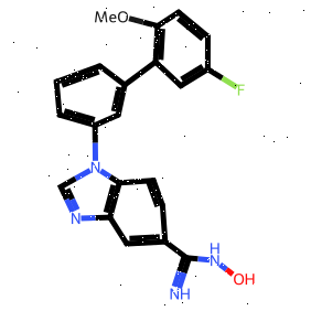 COc1ccc(F)cc1-c1cccc(-n2cnc3cc(C(=N)NO)ccc32)c1